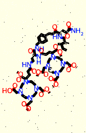 CCC(C)[C@H](C)C(=O)N[C@@H](CCC(N)=O)C(=O)CCc1ccc(CNC(=O)[C@H](CCNC(=O)CCC(C(=O)OC)N2CCN(CC(=O)O)CCN(CC(=O)OC)CCN(CC(=O)OC)CC2)NC(=O)CCC(C(=O)OC)N2CCN(CC(=O)OC)CCN(CC(=O)OC)CCN(CC(=O)OC)CC2)cc1